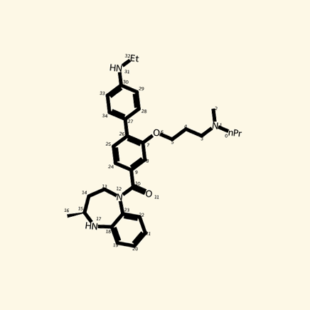 CCCN(C)CCCOc1cc(C(=O)N2CC[C@H](C)Nc3ccccc32)ccc1-c1ccc(NCC)cc1